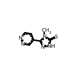 Cn1c(-c2ccnnc2)n[nH]c1=S